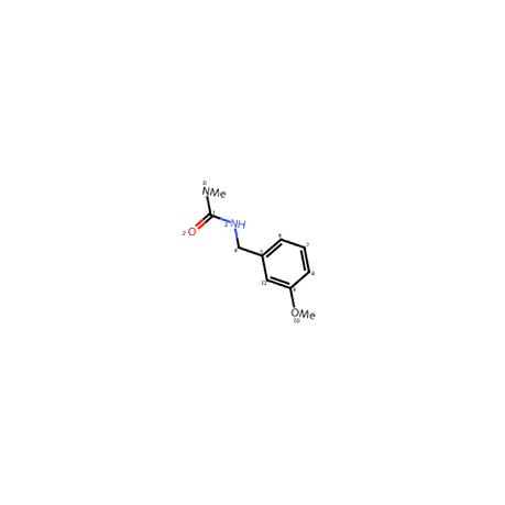 CNC(=O)NCc1cccc(OC)c1